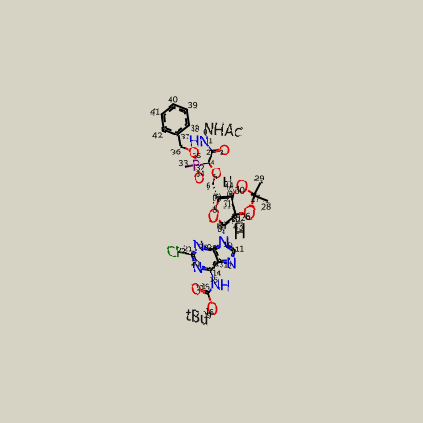 CC(=O)NNC(=O)C(OC[C@H]1O[C@@H](n2cnc3c(NC(=O)OC(C)(C)C)nc(Cl)nc32)[C@@H]2OC(C)(C)O[C@@H]21)P(C)(=O)OCc1ccccc1